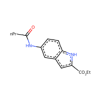 CCCC(=O)Nc1ccc2[nH]c(C(=O)OCC)cc2c1